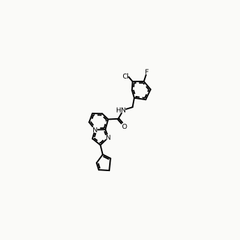 O=C(NCc1ccc(F)c(Cl)c1)c1cccn2cc(C3=CCC=C3)nc12